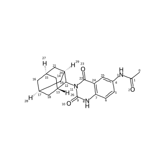 CC(=O)Nc1ccc2[nH]c(=O)n(C3[C@H]4C[C@H]5C[C@H](C4)C[C@H]3C5)c(=O)c2c1